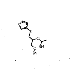 CC(C)OCC(CSc1ccsc1)OC(C)S